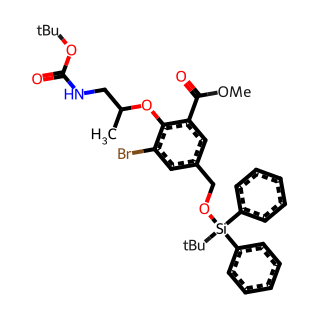 COC(=O)c1cc(CO[Si](c2ccccc2)(c2ccccc2)C(C)(C)C)cc(Br)c1OC(C)CNC(=O)OC(C)(C)C